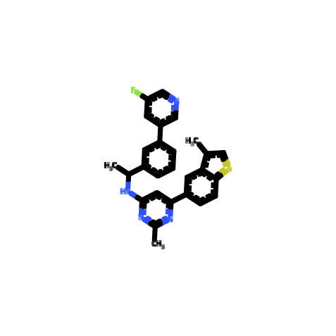 Cc1nc(NC(C)c2cccc(-c3cncc(F)c3)c2)cc(-c2ccc3scc(C)c3c2)n1